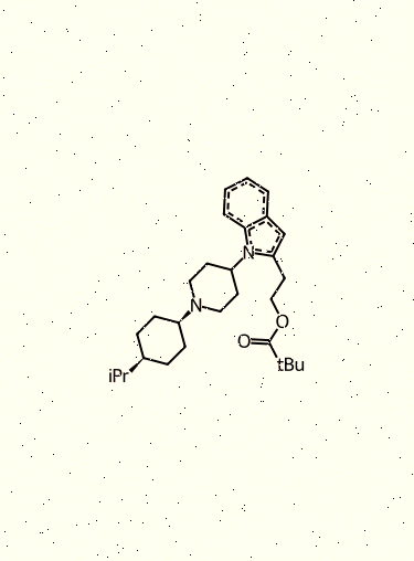 CC(C)[C@H]1CC[C@@H](N2CCC(n3c(CCOC(=O)C(C)(C)C)cc4ccccc43)CC2)CC1